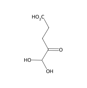 O=C(O)CCC(=O)C(O)O